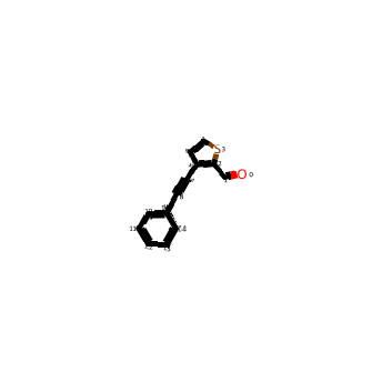 O=Cc1sccc1C#Cc1ccccc1